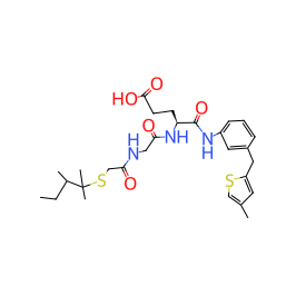 CCC(C)C(C)(C)SCC(=O)NCC(=O)N[C@@H](CCC(=O)O)C(=O)Nc1cccc(Cc2cc(C)cs2)c1